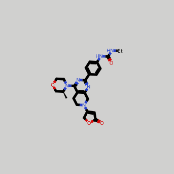 CCNC(=O)Nc1ccc(-c2nc3c(c(N4CCOC[C@@H]4C)n2)CCN(C2=CC(=O)OC2)C3)cc1